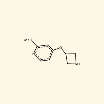 COc1cc(OC2CNC2)ccn1